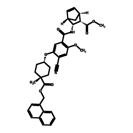 COC(=O)[C@@H]1[C@H](NC(=O)c2cc(O[C@H]3CC[C@@](C)(C(=O)OCc4cccc5ccccc45)CC3)c(C#N)cc2OC)[C@@H]2C=C[C@@H]1C2